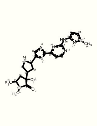 CN1C(=O)C(O)(C2CNC(c3csc(-c4ccnc(Nc5ccn(C)n5)n4)n3)C2)CC1C(F)(F)F